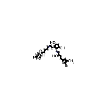 Cc1cc(CC[C@H](O)/C=C/[C@@H]2[C@@H](C/C=C\CCCC(=O)NS(=O)(=O)C(F)(F)F)[C@@H](O)C[C@H]2O)sc1Br